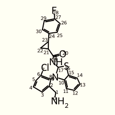 NCc1cccc(Cl)c1N1c2ccccc2SC1NC(=O)C1CC1c1ccc(F)cc1